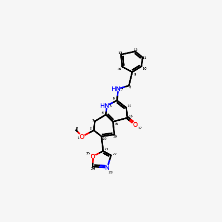 COC1Cc2[nH]c(NCc3ccccc3)cc(=O)c2C=C1c1cnco1